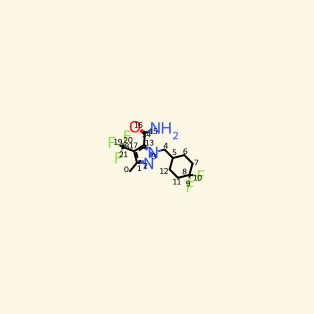 Cc1nn(CC2CCC(F)(F)CC2)c(C(N)=O)c1C(F)(F)F